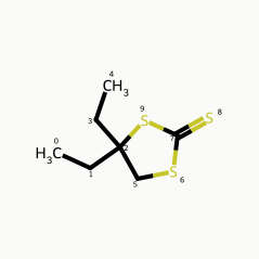 CCC1(CC)CSC(=S)S1